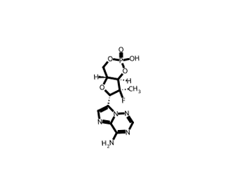 C[C@@]1(F)[C@@H]2OP(=O)(O)OC[C@H]2O[C@H]1c1cnc2c(N)ncnn12